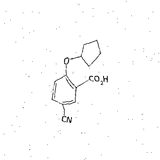 N#Cc1ccc(OC2CCCC2)c(C(=O)O)c1